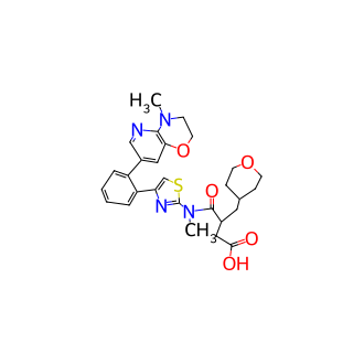 CN1CCOc2cc(-c3ccccc3-c3csc(N(C)C(=O)C(CC(=O)O)CC4CCOCC4)n3)cnc21